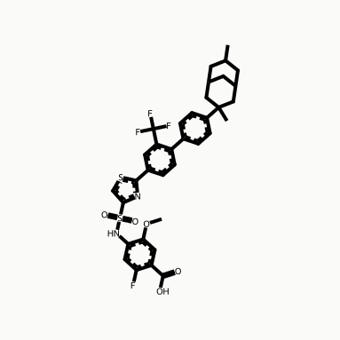 COc1cc(C(=O)O)c(F)cc1NS(=O)(=O)c1csc(-c2ccc(-c3ccc(C4(C)CC5CC(C)CC(C5)C4)cc3)c(C(F)(F)F)c2)n1